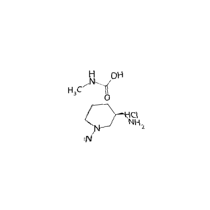 CNC(=O)O.Cl.[N]N1CCC[C@@H](CN)C1